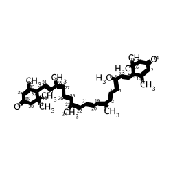 CC(C=CC=C(C)C=CC1C(C)=CC(=O)CC1(C)C)=CC=CC=C(C)C=CC=C(C)C=CC1C(C)=CC(=O)CC1(C)C